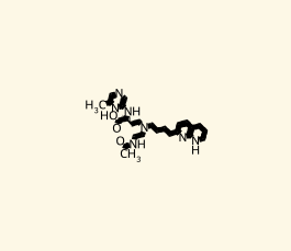 CC(=O)NCCN(CCCCc1ccc2c(n1)NCCC2)CC[C@H](Nc1cncc(C)n1)C(=O)O